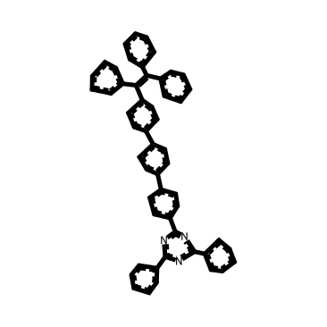 c1ccc(C(=C(c2ccccc2)c2ccc(-c3ccc(-c4ccc(-c5nc(-c6ccccc6)nc(-c6ccccc6)n5)cc4)cc3)cc2)c2ccccc2)cc1